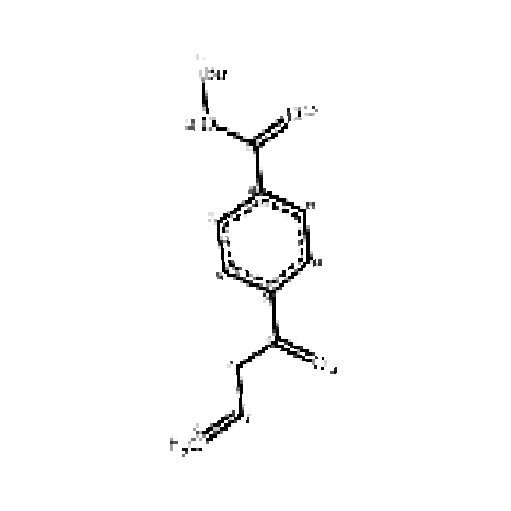 C=CCC(=O)c1ccc(C(=O)OC(C)(C)C)cc1